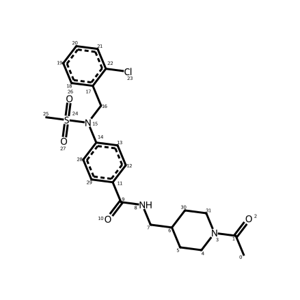 CC(=O)N1CCC(CNC(=O)c2ccc(N(Cc3ccccc3Cl)S(C)(=O)=O)cc2)CC1